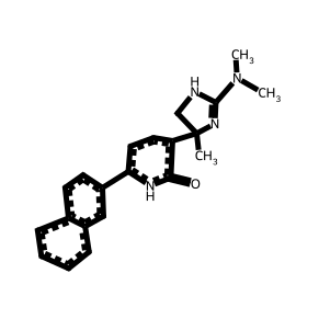 CN(C)C1=NC(C)(c2ccc(-c3ccc4ccccc4c3)[nH]c2=O)CN1